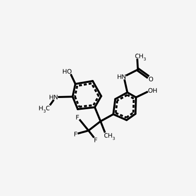 CNc1cc(C(C)(c2ccc(O)c(NC(C)=O)c2)C(F)(F)F)ccc1O